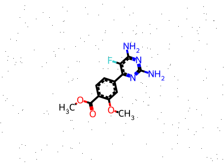 COC(=O)c1ccc(-c2nc(N)nc(N)c2F)cc1OC